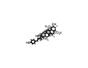 C[C@H]1[C@H](C)CC[C@]2(C(=O)O)CC[C@]3(C)C(=CC[C@@H]4[C@@]5(C)CC[C@@](O)(C(=O)C=Cc6ccc(O)cc6)C(C)(C)C5CC[C@]43C)[C@H]12